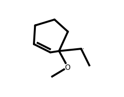 C[CH]C1(OC)C=CCCC1